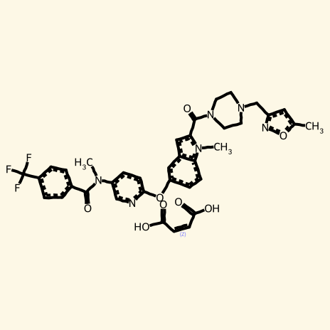 Cc1cc(CN2CCN(C(=O)c3cc4cc(Oc5ccc(N(C)C(=O)c6ccc(C(F)(F)F)cc6)cn5)ccc4n3C)CC2)no1.O=C(O)/C=C\C(=O)O